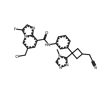 Cn1cnnc1C1(c2cccc(NC(=O)c3cc(CCl)cn4c(F)cnc34)c2)CC(CC#N)C1